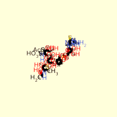 C=CC(=O)N[C@H]1[C@@H](O)[C@H](O)[C@H](OC2[C@@H](O)[C@H](Oc3ccc4c(c3)COP(=O)(OCC3O[C@@H](n5cnc6c(=S)nc(N)[nH]c65)[C@H](O)[C@@H]3O)O4)O[C@H](CO)[C@H]2O[C@H]2O[C@H](CO)[C@H](O)[C@H](OC(C)=O)[C@H]2NS(=O)(=O)O)S[C@H]1C